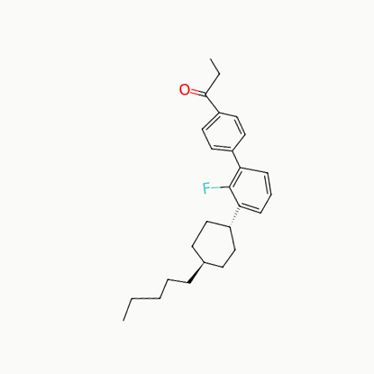 CCCCC[C@H]1CC[C@H](c2cccc(-c3ccc(C(=O)CC)cc3)c2F)CC1